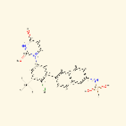 CC(C)(C)c1cc(-n2ccc(=O)[nH]c2=O)cc(-c2ccc3cc(NS(C)(=O)=O)ccc3c2)c1Cl